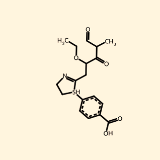 CCOC(CC1=NCC[SH]1c1ccc(C(=O)O)cc1)C(=O)C(C)C=O